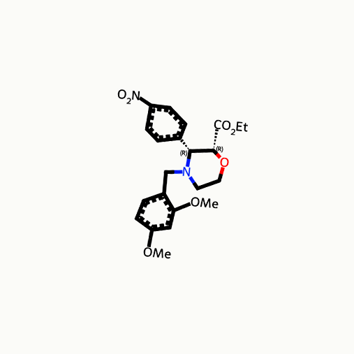 CCOC(=O)[C@@H]1OCCN(Cc2ccc(OC)cc2OC)[C@@H]1c1ccc([N+](=O)[O-])cc1